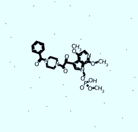 COc1cnc(OC)c2c1c(C(=O)C(=O)N1CCN(C(=O)c3ccccc3)CC1)cn2COP(=O)(O)OC